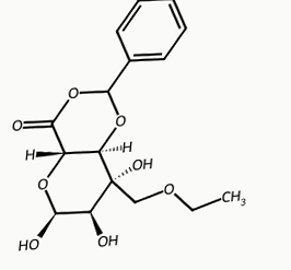 CCOC[C@]1(O)[C@@H]2OC(c3ccccc3)OC(=O)[C@H]2O[C@H](O)[C@@H]1O